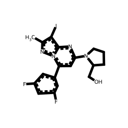 Cc1nn2c(-c3cc(F)cc(F)c3)cc(N3CCCC3CO)nc2c1I